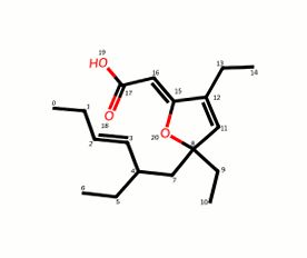 CCC=CC(CC)CC1(CC)C=C(CC)C(=CC(=O)O)O1